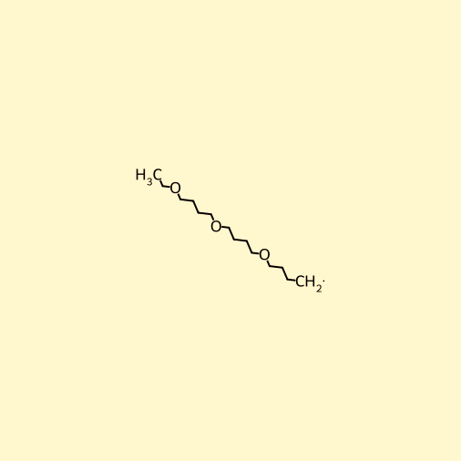 [CH2]CCCOCCCCOCCCCOCC